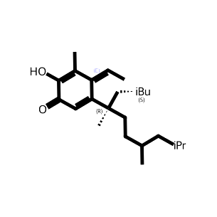 C/C=C1\C([C@](C)(CCC(C)CC(C)C)C[C@@H](C)CC)=CC(=O)C(O)=C1C